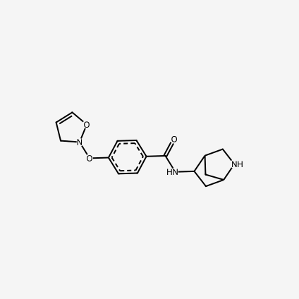 O=C(NC1CC2CC1CN2)c1ccc(ON2CC=CO2)cc1